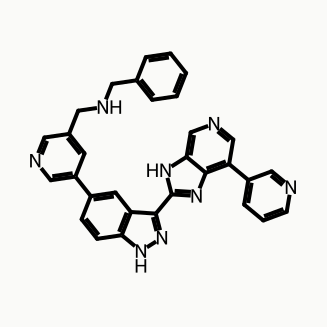 c1ccc(CNCc2cncc(-c3ccc4[nH]nc(-c5nc6c(-c7cccnc7)cncc6[nH]5)c4c3)c2)cc1